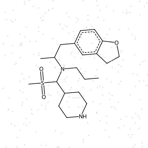 CCCN(C(C)Cc1ccc2c(c1)CCO2)C(C1CCNCC1)S(C)(=O)=O